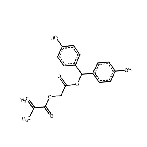 C=C(C)C(=O)OCC(=O)OC(c1ccc(O)cc1)c1ccc(O)cc1